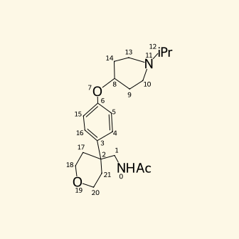 CC(=O)NCC1(c2ccc(OC3CCN(C(C)C)CC3)cc2)CCOCC1